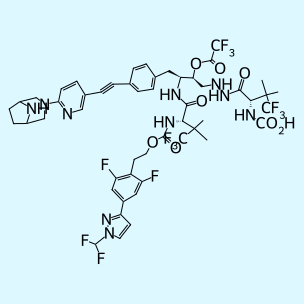 CC(C)([C@H](NC(=O)O)C(=O)NNC[C@H](OC(=O)C(F)(F)F)[C@H](Cc1ccc(C#Cc2ccc(N3CC4CCC(C3)N4)nc2)cc1)NC(=O)[C@@H](NC(=O)OCCc1c(F)cc(-c2ccn(C(F)F)n2)cc1F)C(C)(C)C(F)(F)F)C(F)(F)F